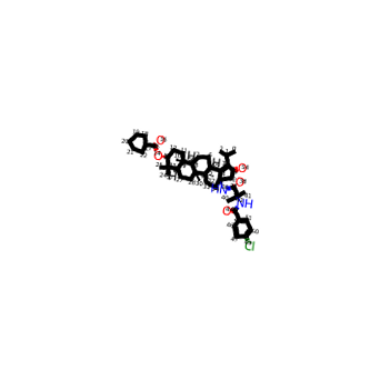 CC(C)C1=C2[C@H]3CC[C@@H]4[C@@]5(C)CC[C@H](OC(=O)C6CCCCC6)C(C)(C)[C@@H]5CC[C@@]4(C)[C@]3(C)CC[C@@]2(NC(=O)C(C)(C)NC(=O)c2ccc(Cl)cc2)CC1=O